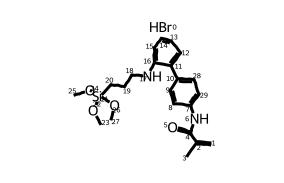 Br.C=C(C)C(=O)Nc1ccc(-c2ccccc2NCCC[Si](OC)(OC)OC)cc1